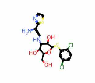 N/C(=C\NC1C(O)C(CO)OC(Sc2cc(Cl)ccc2Cl)C1O)c1nccs1